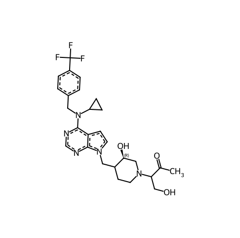 CC(=O)C(CO)N1CCC(Cn2ccc3c(N(Cc4ccc(C(F)(F)F)cc4)C4CC4)ncnc32)[C@@H](O)C1